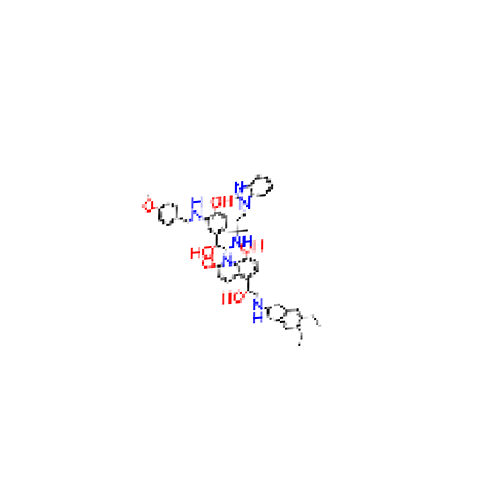 CCc1cc2c(cc1CC)CC(NCC(O)c1ccc(O)c3c1ccc(=O)n3C(NC(C)(C)CCn1cnc3ccccc31)C(O)c1ccc(O)c(NCc3ccc(OC)cc3)c1)C2